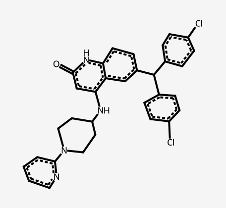 O=c1cc(NC2CCN(c3ccccn3)CC2)c2cc(C(c3ccc(Cl)cc3)c3ccc(Cl)cc3)ccc2[nH]1